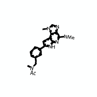 CNc1nc2[nH]c(-c3cccc(CN(C)C(C)=O)c3)cc2c2c1ncn2C